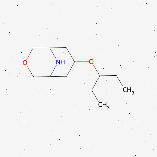 CCC(CC)OC1CC2COCC(C1)N2